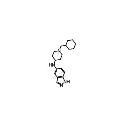 c1cc2[nH]ncc2cc1NC1CCN(CC2CCCCC2)CC1